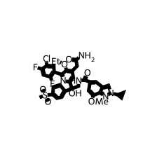 CCOc1c(CC(N)=O)cc([C@@](O)(CNC(=O)c2cc(OC)c3nn(C4CC4)cc3c2)c2ccc(S(C)(=O)=O)cc2)nc1-c1cc(Cl)c(F)cc1F